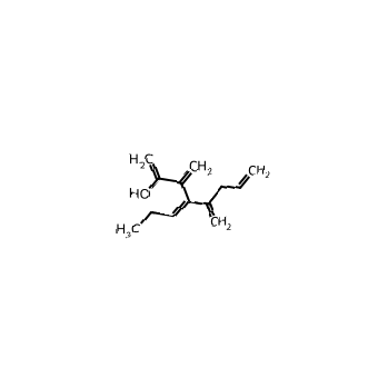 C=CCC(=C)/C(=C/CC)C(=C)C(=C)O